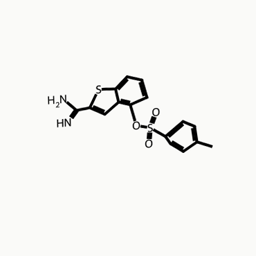 Cc1ccc(S(=O)(=O)Oc2cccc3sc(C(=N)N)cc23)cc1